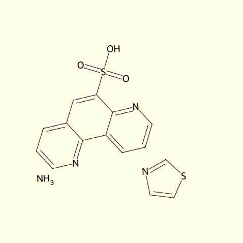 N.O=S(=O)(O)c1cc2cccnc2c2cccnc12.c1cscn1